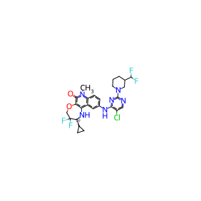 Cn1c(=O)c2c(c3cc(Nc4nc(N5CCCC(C(F)F)C5)ncc4Cl)ccc31)N[C@@H](C1CC1)C(F)(F)CO2